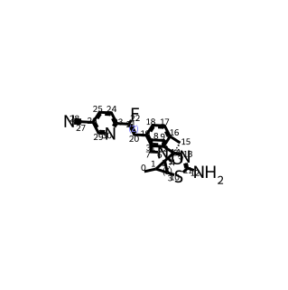 CC1C2[C@@]1(C(=O)N1CCC1)SC(N)=N[C@@]21Cc2ccc(/C=C(\F)c3ccc(C#N)cn3)cc21